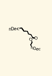 CCCCCCCCCCCCCCCC(=O)OCCCCCCCCCCCC